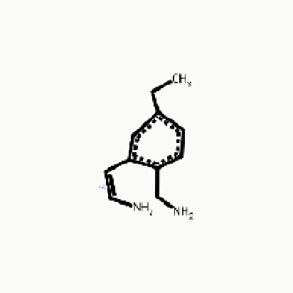 CCc1ccc(CN)c(/C=C\N)c1